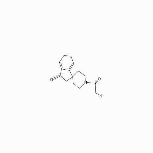 O=C1CC2(CCN(C(=O)CF)CC2)c2ccccc21